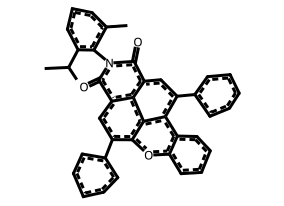 Cc1cccc(C(C)C)c1-n1c(=O)c2cc(-c3ccccc3)c3oc4ccccc4c4c(-c5ccccc5)cc(c1=O)c2c34